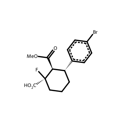 COC(=O)[C@H]1[C@H](c2ccc(Br)cc2)CCC[C@]1(F)C(=O)O